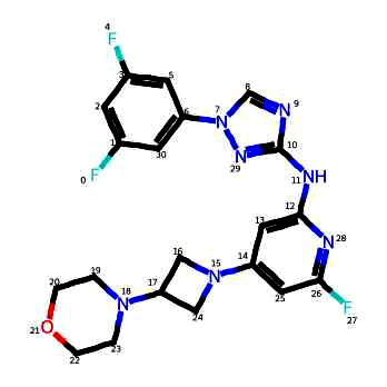 Fc1cc(F)cc(-n2cnc(Nc3cc(N4CC(N5CCOCC5)C4)cc(F)n3)n2)c1